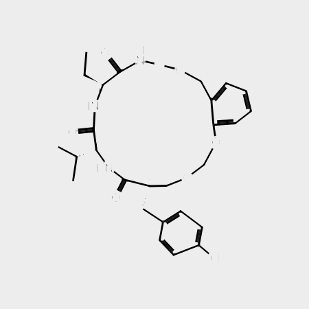 CC[C@@H]1NC(=O)[C@@H](C(C)C)NC(=O)[C@@H](Cc2ccc(Cl)cc2)CCCOc2ccccc2CCCNC1=O